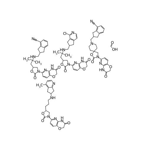 CC(C)(CC1CN(c2ccc3c(n2)NC(=O)CO3)C(=O)O1)NCC1Cc2cccc(C#N)c2C1.CC(C)(CC1CN(c2ccc3c(n2)NC(=O)CO3)C(=O)O1)NCC1Cc2ccnc(Cl)c2C1.Cc1ccnc2c1CC(NCCCC1CN(c3ccc4c(n3)NC(=O)CO4)C(=O)O1)C2.N#Cc1cccc2c1CC(CN1CCC3(CC1)CN(c1ccc4c(n1)NC(=O)CO4)C(=O)O3)C2.O=CO